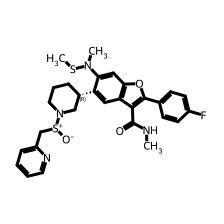 CNC(=O)c1c(-c2ccc(F)cc2)oc2cc(N(C)SC)c([C@H]3CCCN([S+]([O-])Cc4ccccn4)C3)cc12